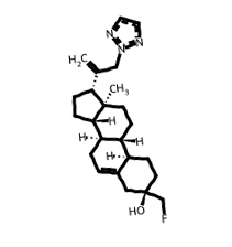 C=C(Cn1nccn1)[C@H]1CC[C@H]2[C@@H]3CC=C4C[C@@](O)(CF)CC[C@@H]4[C@H]3CC[C@]12C